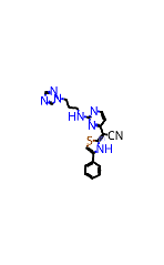 N#C/C(=C1\NC(c2ccccc2)=CS1)c1ccnc(NCCCn2cncn2)n1